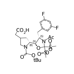 CC(=O)N1[C@@H](Cc2cc(F)cc(F)c2)[C@H]([C@H]2CC(CC(=O)O)CN2C(=O)OC(C)(C)C)OC1(S(C)(=O)=O)S(C)(=O)=O